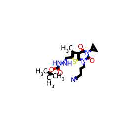 Cc1c(CNNC(=O)OC(C)(C)C)sc2c1c(=O)n(C1CC1)c(=O)n2CCCC#N